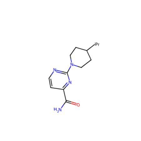 CC(C)C1CCN(c2nccc(C(N)=O)n2)CC1